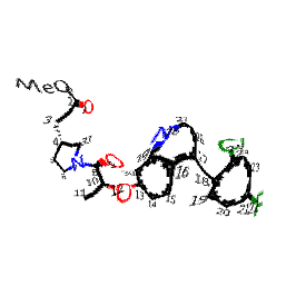 COC(=O)C[C@H]1CCN(C(=O)C(C)Oc2ccc3c(-c4ccc(F)cc4Cl)ccnc3c2)C1